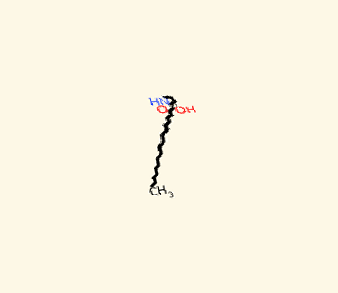 CCCCCCCCCCCCCCCCCC(=O)C(O)[C@@H]1CCCN1